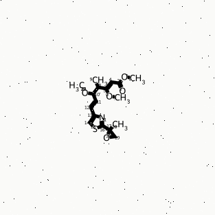 COC(=O)C=C(OC)C(C)C(C=Cc1csc(C2(C)CO2)n1)OC